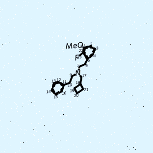 COc1cccc(CCN(CCc2ccccc2)CC2CCC2)c1F